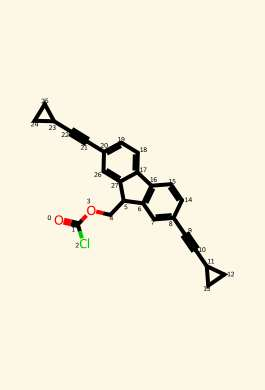 O=C(Cl)OCC1c2cc(C#CC3CC3)ccc2-c2ccc(C#CC3CC3)cc21